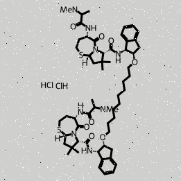 CNC(C)C(=O)N[C@H]1CCS[C@H]2CC(C)(C)[C@@H](C(=O)N[C@H]3c4ccccc4C[C@H]3OCCCCCCCCCCO[C@@H]3Cc4ccccc4[C@@H]3NC(=O)[C@H]3N4C(=O)[C@@H](NC(=O)C(C)NC)CCS[C@H]4CC3(C)C)N2C1=O.Cl.Cl